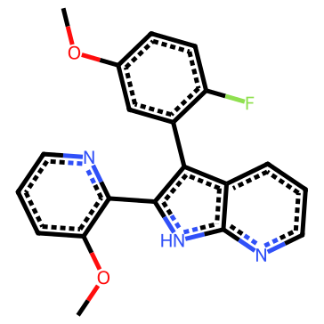 COc1ccc(F)c(-c2c(-c3ncccc3OC)[nH]c3ncccc23)c1